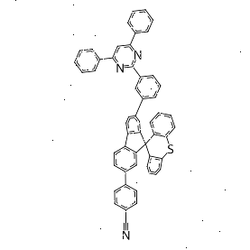 N#Cc1ccc(-c2ccc3c(c2)C2(c4ccccc4Sc4ccccc42)c2cc(-c4cccc(-c5nc(-c6ccccc6)cc(-c6ccccc6)n5)c4)ccc2-3)cc1